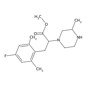 COC(=O)C(Cc1c(C)cc(F)cc1C)N1CCNC(C)C1